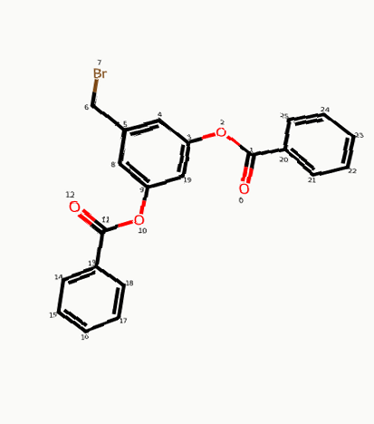 O=C(Oc1cc(CBr)cc(OC(=O)c2ccccc2)c1)c1ccccc1